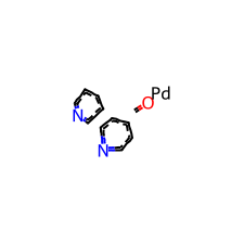 C=O.[Pd].c1ccncc1.c1ccncc1